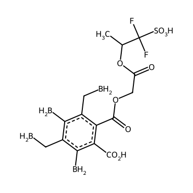 BCc1c(B)c(CB)c(C(=O)OCC(=O)OC(C)C(F)(F)S(=O)(=O)O)c(C(=O)O)c1B